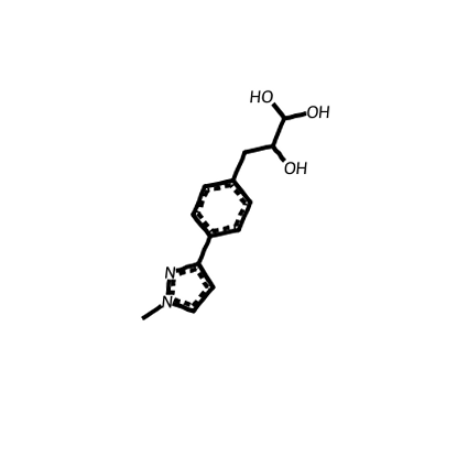 Cn1ccc(-c2ccc(CC(O)C(O)O)cc2)n1